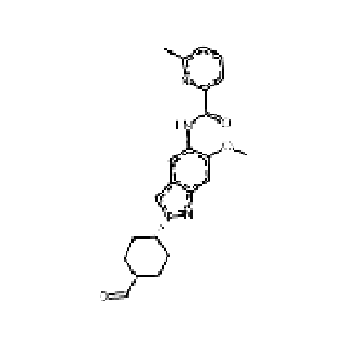 COc1cc2nn([C@H]3CC[C@H](C=O)CC3)cc2cc1NC(=O)c1cccc(C)n1